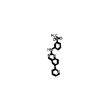 CS(=O)(=O)c1cccc(Nc2ncc3cc(-c4ccccn4)ccc3n2)c1